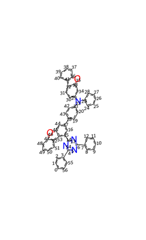 c1ccc(-c2nc(-c3ccccc3)nc(-c3cc(-c4ccc(N(c5ccccc5)c5ccc6c(c5)oc5ccccc56)cc4)cc4oc5ccccc5c34)n2)cc1